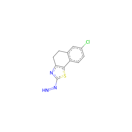 N=Nc1nc2c(s1)-c1ccc(Cl)cc1CC2